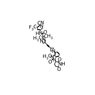 Cn1c(=O)n(C2CCC(=O)NC2=O)c2cccc(N3CC(C#Cc4cnn(C(C)(C)C(=O)Nc5cnc(C#N)c(C(F)(F)F)c5)c4)C3)c21